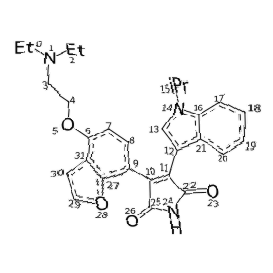 CCN(CC)CCOc1ccc(C2=C(c3cn(C(C)C)c4ccccc34)C(=O)NC2=O)c2occc12